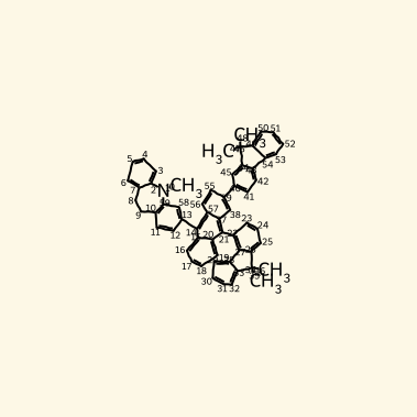 CN1c2ccccc2CCc2ccc(-c3c4ccccc4c(-c4cccc5c4-c4ccccc4C5(C)C)c4cc(-c5ccc6c(c5)C(C)(C)c5ccccc5-6)ccc34)cc21